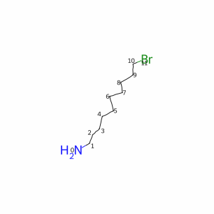 NCCCCCCCCCCBr